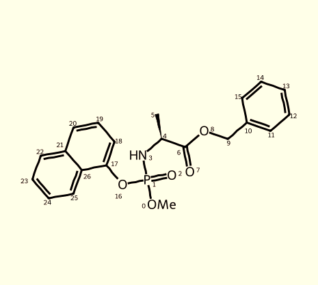 COP(=O)(N[C@@H](C)C(=O)OCc1ccccc1)Oc1cccc2ccccc12